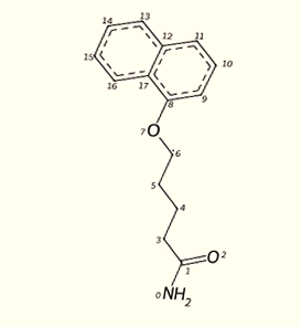 NC(=O)CCC[CH]Oc1cccc2ccccc12